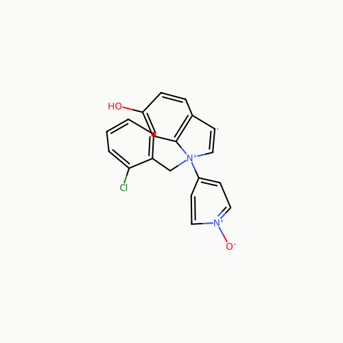 [O-][n+]1ccc([N+]2(Cc3ccccc3Cl)C=[C]c3ccc(O)cc32)cc1